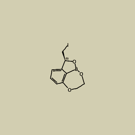 IC[C@H]1OB2OCCOc3cccc1c32